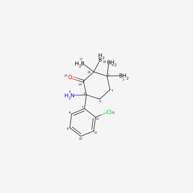 BC1(B)CCC(N)(c2ccccc2Cl)C(=O)C1(B)B